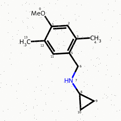 COc1cc(C)c(CNC2CC2)cc1C